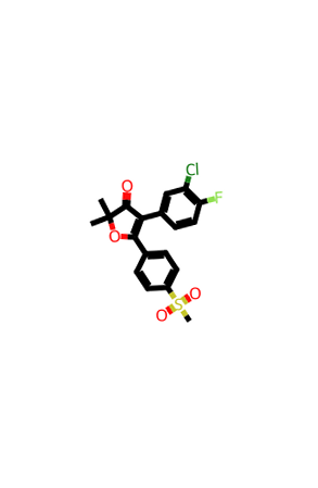 CC1(C)OC(c2ccc(S(C)(=O)=O)cc2)=C(c2ccc(F)c(Cl)c2)C1=O